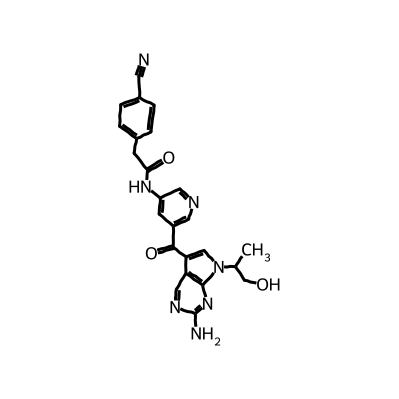 CC(CO)n1cc(C(=O)c2cncc(NC(=O)Cc3ccc(C#N)cc3)c2)c2cnc(N)nc21